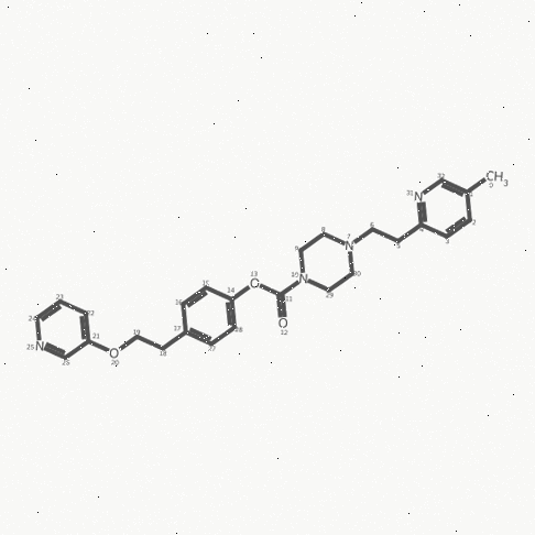 Cc1ccc(CCN2CCN(C(=O)Oc3ccc(CCOc4cccnc4)cc3)CC2)nc1